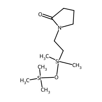 C[Si](C)(C)O[Si](C)(C)CCN1CCCC1=O